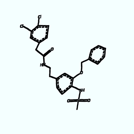 CS(=O)(=O)Nc1ccc(CCNC(=O)Cc2ccc(Cl)c(Cl)c2)cc1OCc1ccccc1